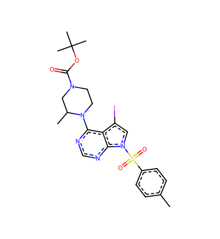 Cc1ccc(S(=O)(=O)n2cc(I)c3c(N4CCN(C(=O)OC(C)(C)C)CC4C)ncnc32)cc1